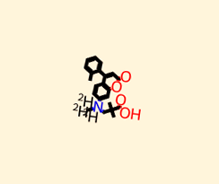 [2H]C([2H])([2H])N(CC(C)(C)C(=O)O)c1ccc2c(-c3ccccc3C)cc(=O)oc2c1